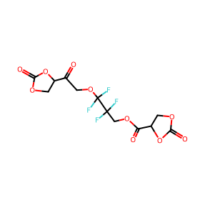 O=C1OCC(C(=O)COC(F)(F)C(F)(F)COC(=O)C2COC(=O)O2)O1